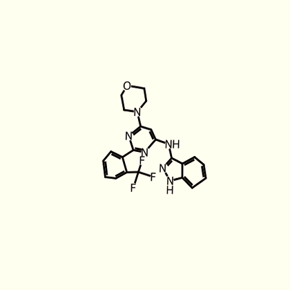 FC(F)(F)c1ccccc1-c1nc(Nc2n[nH]c3ccccc23)cc(N2CCOCC2)n1